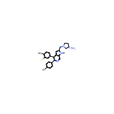 CCc1ccc(-c2ncc3c(cc(CN4CC[C@H](N)C4)n3C)c2-c2ccc(C#N)c(F)c2)cc1